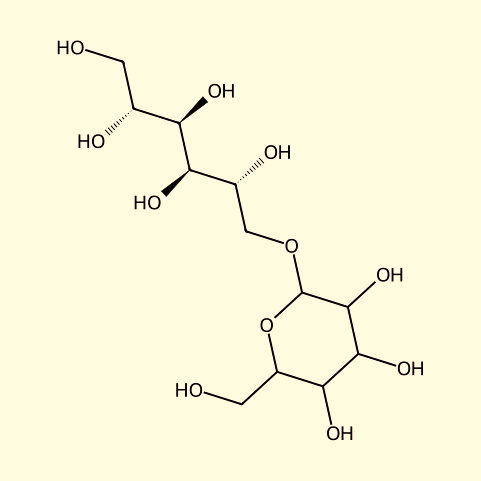 OCC1OC(OC[C@@H](O)[C@@H](O)[C@H](O)[C@H](O)CO)C(O)C(O)C1O